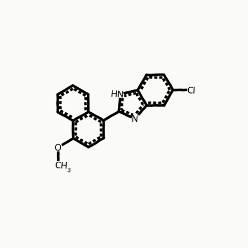 COc1ccc(-c2nc3cc(Cl)ccc3[nH]2)c2ccccc12